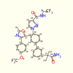 Cc1nc(-c2ccc(OC(F)(F)F)cc2)c(-c2cc(-c3cccc(C(C)(C)C(N)=O)c3)ccc2-n2ccc(C(=O)NCC(F)(F)F)n2)o1